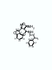 CC(CCNC(=O)c1c(-c2coc3ccccc23)noc1N)c1ccccc1